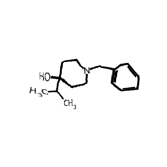 CC(C)C1(O)CCN(Cc2ccccc2)CC1